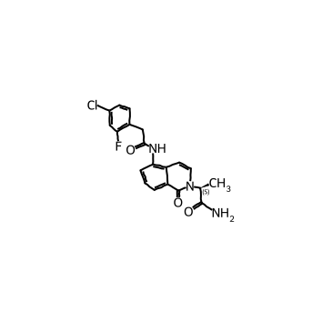 C[C@@H](C(N)=O)n1ccc2c(NC(=O)Cc3ccc(Cl)cc3F)cccc2c1=O